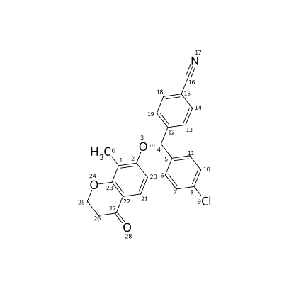 Cc1c(O[C@@H](c2ccc(Cl)cc2)c2ccc(C#N)cc2)ccc2c1OCCC2=O